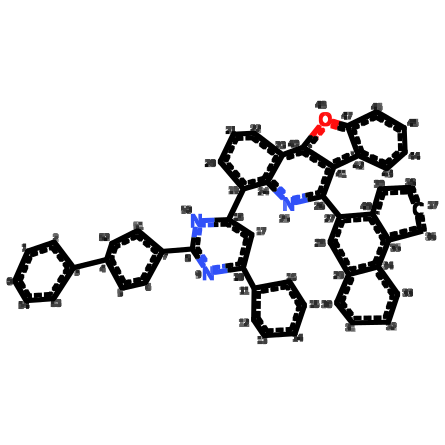 c1ccc(-c2ccc(-c3nc(-c4ccccc4)cc(-c4cccc5c4nc(-c4cc6ccccc6c6ccccc46)c4c6ccccc6oc54)n3)cc2)cc1